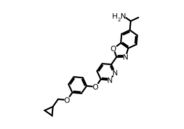 CC(N)c1ccc2nc(-c3ccc(Oc4cccc(OCC5CC5)c4)nn3)oc2c1